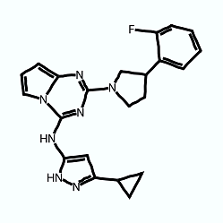 Fc1ccccc1C1CCN(c2nc(Nc3cc(C4CC4)n[nH]3)n3cccc3n2)C1